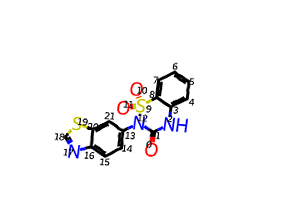 O=C1Nc2ccccc2S(=O)(=O)N1c1ccc2ncsc2c1